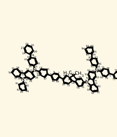 CC1(C)c2cc(-c3ccc(-c4ccc(N(c5ccc(-c6ccccc6)cc5)c5ccc6c(c5)c5ccccc5n6-c5ccccc5)cc4)cc3)ccc2-c2ccc(-n3c4ccccc4c4cc(N(c5ccc(-c6ccccc6)cc5)c5ccc(-c6ccccc6)cc5)ccc43)cc21